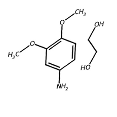 COc1ccc(N)cc1OC.OCCO